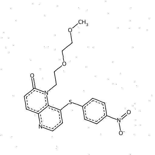 COCCOCCn1c(=O)ccc2nccc(Sc3ccc([N+](=O)[O-])cc3)c21